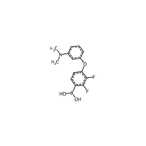 CN(C)c1cccc(Oc2ccc(B(O)O)c(F)c2F)c1